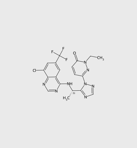 CCn1nc(-n2ncnc2[C@H](C)Nc2ncnc3c(Cl)cc(C(F)(F)F)cc23)ccc1=O